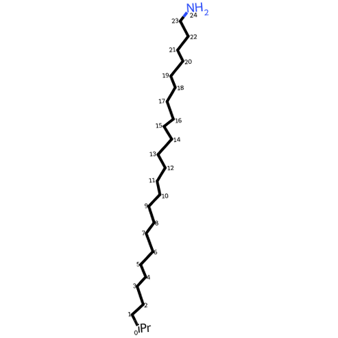 CC(C)CCCCCCCCCCCCCCCCCCCCCCCN